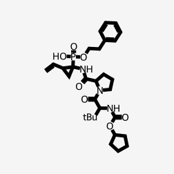 C=CC1CC1(NC(=O)C1CCCN1C(=O)C(NC(=O)OC1CCCC1)C(C)(C)C)P(=O)(O)OCCc1ccccc1